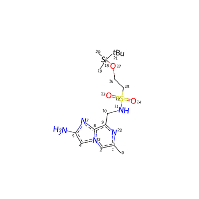 Cc1cn2cc(N)nc2c(CNS(=O)(=O)CCO[Si](C)(C)C(C)(C)C)n1